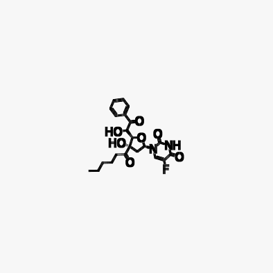 CCCCCC(=O)[C@]1(O)C[C@H](n2cc(F)c(=O)[nH]c2=O)O[C@@H]1C(O)C(=O)c1ccccc1